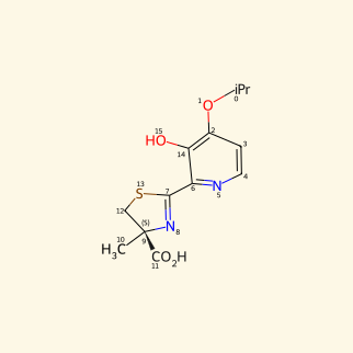 CC(C)Oc1ccnc(C2=N[C@@](C)(C(=O)O)CS2)c1O